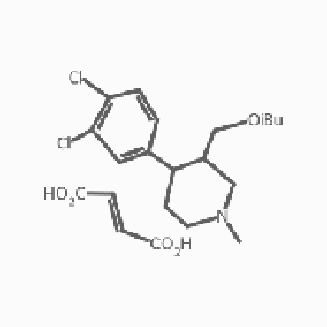 CC(C)COCC1CN(C)CCC1c1ccc(Cl)c(Cl)c1.O=C(O)C=CC(=O)O